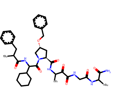 CCCCC(NC(=O)CNC(=O)C(=O)C(CCC)NC(=O)[C@@H]1C[C@@H](OCc2ccccc2)CN1C(=O)C(NC(=O)C(Cc1ccccc1)C(C)(C)C)C1CCCCC1)C(N)=O